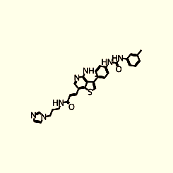 Cc1cccc(NC(=O)Nc2ccc(-c3csc4c(/C=C/C(=O)NCCCn5ccnc5)cnc(N)c34)cc2)c1